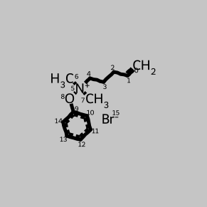 C=CCCC[N+](C)(C)Oc1ccccc1.[Br-]